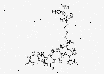 Cc1nnc2c(NCCCCNC(=O)[C@H](O)C(C)C)nc3cc(-c4nc5ccccc5n4C)ccc3n12